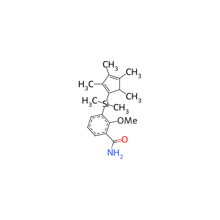 COc1c(C(N)=O)cccc1[Si](C)(C)C1=C(C)C(C)=C(C)C1C